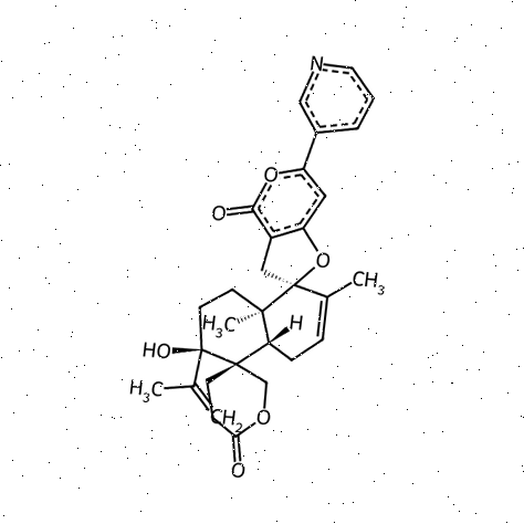 C=C(C)[C@]1(O)CC[C@]2(C)[C@H](CC=C(C)[C@@]23Cc2c(cc(-c4cccnc4)oc2=O)O3)[C@@]12CCC(=O)OC2